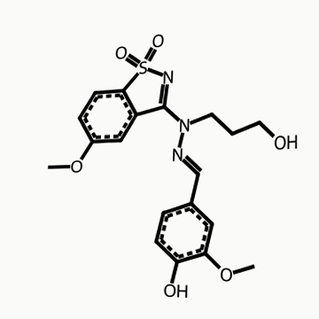 COc1ccc2c(c1)C(N(CCCO)/N=C/c1ccc(O)c(OC)c1)=NS2(=O)=O